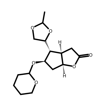 CC1OCC([C@@H]2[C@H]3CC(=O)O[C@H]3C[C@H]2OC2CCCCO2)O1